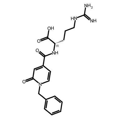 N=C(N)NCCC[C@H](NC(=O)c1ccn(Cc2ccccc2)c(=O)c1)C(=O)O